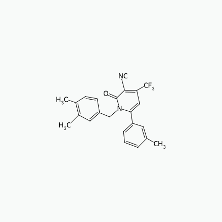 [C-]#[N+]c1c(C(F)(F)F)cc(-c2cccc(C)c2)n(Cc2ccc(C)c(C)c2)c1=O